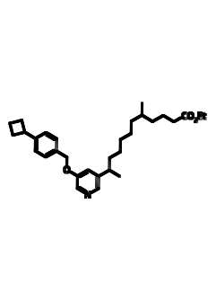 CCOC(=O)CCCC(C)CCCCCC(C)c1cncc(OCc2ccc(C3CCC3)cc2)c1